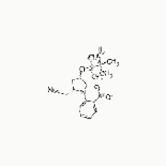 CC(C)(C)[Si](C)(C)O[C@@H]1C[C@@H](CC#N)N(c2ccccc2[N+](=O)[O-])C1